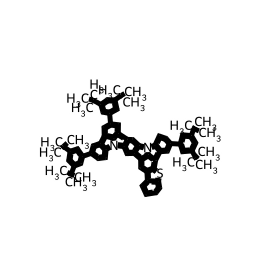 CC(C)(C)c1cc(-c2ccc3c(c2)c2cc(-c4cc(C(C)(C)C)cc(C(C)(C)C)c4)cc4c5cc6c(cc5n3c24)c2cc3c4ccccc4sc3c3c4cc(-c5cc(C(C)(C)C)cc(C(C)(C)C)c5)ccc4n6c23)cc(C(C)(C)C)c1